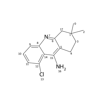 CC1(C)CCc2c(nc3cccc(Cl)c3c2N)C1